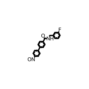 O=Nc1ccc(-c2ccc(C(=O)NCc3cccc(F)c3)cc2)cc1